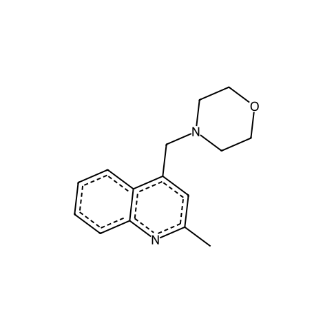 Cc1cc(CN2CCOCC2)c2ccccc2n1